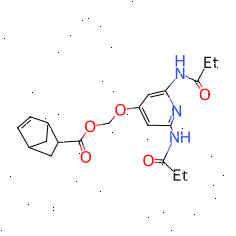 CCC(=O)Nc1cc(OCOC(=O)C2CC3C=CC2C3)cc(NC(=O)CC)n1